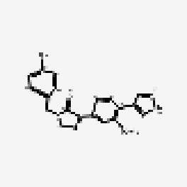 COc1cc(N2CCN(Cc3ccc(F)cc3)C2=O)ccc1-c1cn[nH]c1